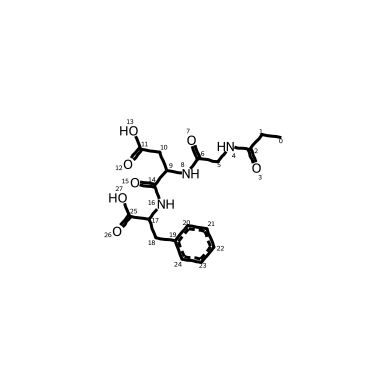 CCC(=O)NCC(=O)NC(CC(=O)O)C(=O)NC(Cc1ccccc1)C(=O)O